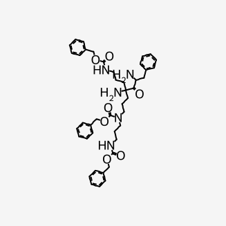 NC(Cc1ccccc1)C(=O)C(N)(CCCNC(=O)OCc1ccccc1)CCCN(CCCNC(=O)OCc1ccccc1)C(=O)OCc1ccccc1